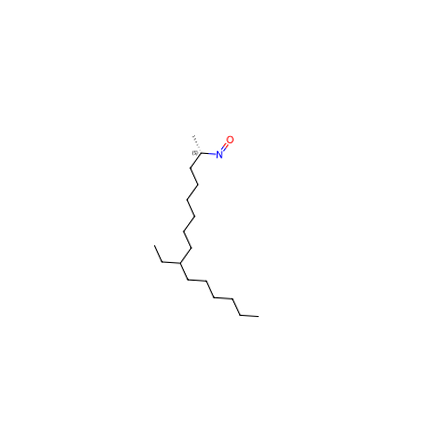 CCCCCCC(CC)CCCCCC[C@H](C)N=O